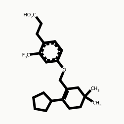 CC1(C)CCC(C2CCCC2)=C(COc2ccc(CCC(=O)O)c(C(F)(F)F)c2)C1